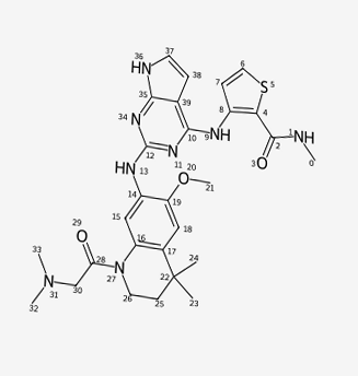 CNC(=O)c1sccc1Nc1nc(Nc2cc3c(cc2OC)C(C)(C)CCN3C(=O)CN(C)C)nc2[nH]ccc12